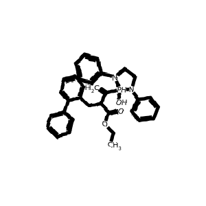 C=C(C(Cc1ccccc1-c1ccccc1)C(=O)OCC)[PH]1(O)N(c2ccccc2)CCN1c1ccccc1